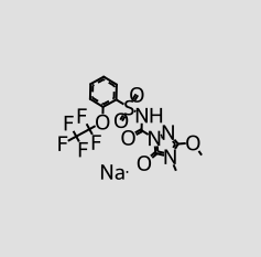 COc1nn(C(=O)NS(=O)(=O)c2ccccc2OC(F)(F)C(F)(F)F)c(=O)n1C.[Na]